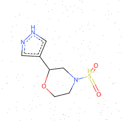 O=[SH](=O)N1CCOC(c2cn[nH]c2)C1